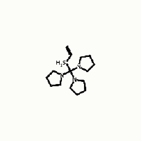 C=C[SiH2]C(N1CCCC1)(N1CCCC1)N1CCCC1